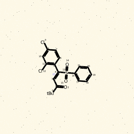 CC(C)(C)C(=O)/C=C(/c1ccc(Cl)cc1Cl)S(=O)(=O)c1ccccc1